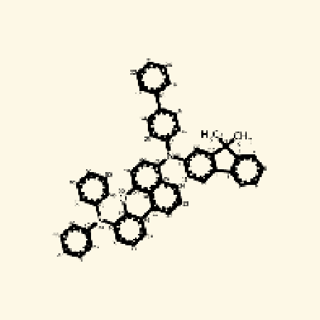 CC1(C)c2ccccc2-c2ccc(N(c3ccc(-c4ccccc4)cc3)c3ccc4c5c(cccc35)-c3cccc(N(c5ccccc5)c5ccccc5)c3O4)cc21